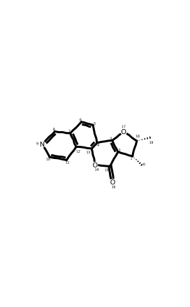 C[C@@H]1c2c(c3ccc4cnccc4c3oc2=O)O[C@@H]1C